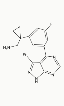 CCc1n[nH]c2ncnc(-c3cc(F)cc(C4(CN)CC4)c3)c12